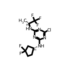 C[C@@H](Nc1nc(Cl)nc(N[C@@H]2CCC(F)(F)C2)n1)C(F)(F)F